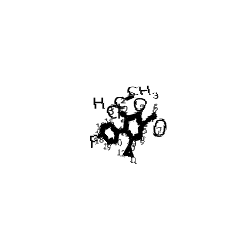 CC(C)Oc1c(C=O)cc(C2CC2)c(-c2ccc(F)cc2)c1Cl